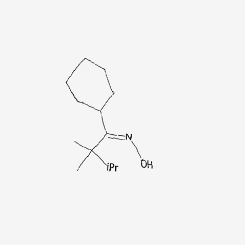 CC(C)C(C)(C)C(=NO)C1CCCCC1